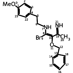 COc1ccc(CCN/C(Br)=C(/OCc2ccccc2)C(C)=N)cc1